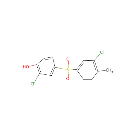 Cc1ccc(S(=O)(=O)c2ccc(O)c(Cl)c2)cc1Cl